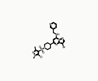 Cc1nn(C)c(Cl)c1S(=O)(=O)N1CCC(c2cc(NCc3cccnc3)n3ncc(Br)c3n2)CC1